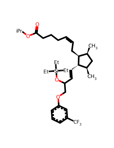 CC[Si](CC)(CC)OC(/C=C/[C@@H]1[C@@H](C/C=C\CCCC(=O)OC(C)C)[C@@H](C)C[C@H]1C)COc1cccc(C(F)(F)F)c1